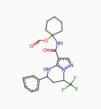 O=COC1(NC(=O)c2cnn3c2NC(c2ccccc2)CC3C(F)(F)F)CCCCC1